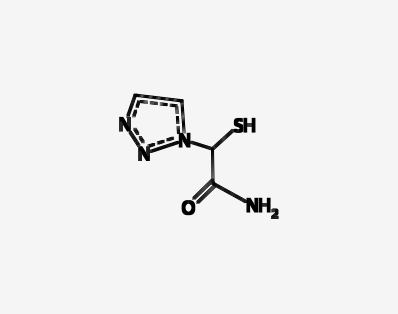 NC(=O)C(S)n1ccnn1